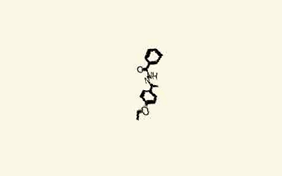 CCOc1ccc(C(C)=NNC(=O)c2ccccc2)cc1